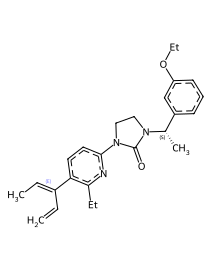 C=C/C(=C\C)c1ccc(N2CCN([C@@H](C)c3cccc(OCC)c3)C2=O)nc1CC